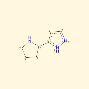 c1cc(C2CCCN2)[nH]n1